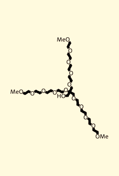 COCCOCCOCCOCCOCC(CO)(COCCOCCOCCOCCOC)OCCOCCOCCOCCOC